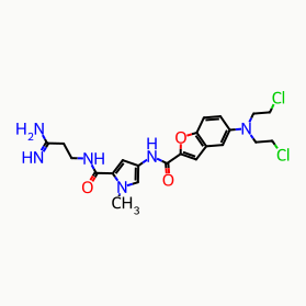 Cn1cc(NC(=O)c2cc3cc(N(CCCl)CCCl)ccc3o2)cc1C(=O)NCCC(=N)N